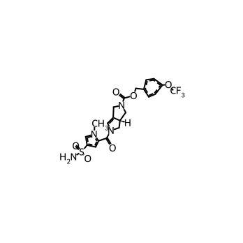 Cn1cc(S(N)(=O)=O)cc1C(=O)N1C=C2CN(C(=O)OCc3ccc(OC(F)(F)F)cc3)C[C@@H]2C1